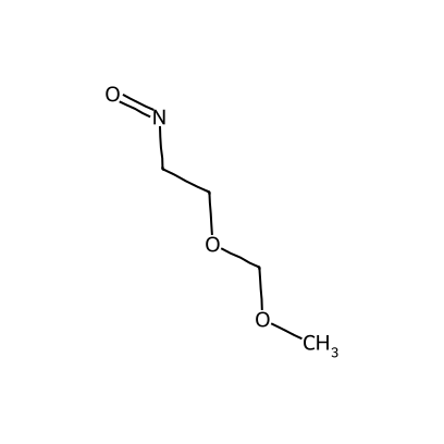 COCOCCN=O